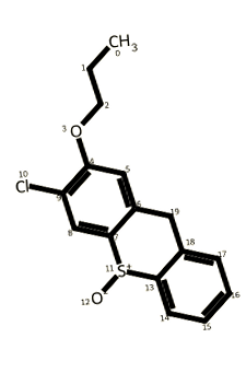 CCCOc1cc2c(cc1Cl)[S+]([O-])c1ccccc1C2